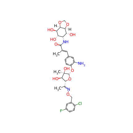 CC(=Cc1ccc(O[C@@H]2O[C@H](C(C)=NOCc3cc(F)ccc3Cl)[C@@H](O)[C@@]2(C)O)c(N)c1)C(=O)N[C@@H]1[C@H](O)[C@@H](O)[C@H]2OCO[C@H]2[C@@H]1O